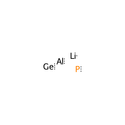 [Al].[Ge].[Li].[P]